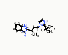 CC(CCn1ccnc1C(C)(C)C)c1nc2ccccc2[nH]1